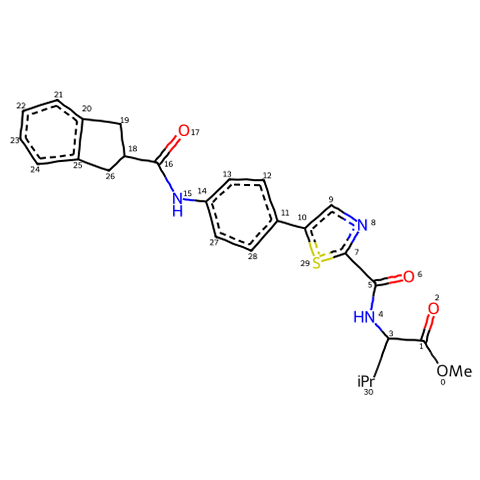 COC(=O)C(NC(=O)c1ncc(-c2ccc(NC(=O)C3Cc4ccccc4C3)cc2)s1)C(C)C